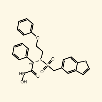 O=C(NO)[C@H](c1ccccc1)N(CCOc1ccccc1)S(=O)(=O)Cc1ccc2sccc2c1